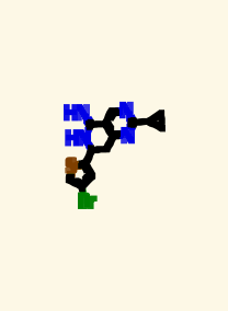 N=C1NC(c2cc(Br)cs2)Cc2nc(C3CC3)ncc21